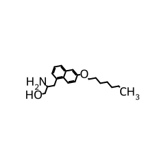 CCCCCCCOc1ccc2c(CC(N)CO)cccc2c1